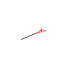 CCCCCCCCCCCCCCCCCCOCCOCC(=O)O